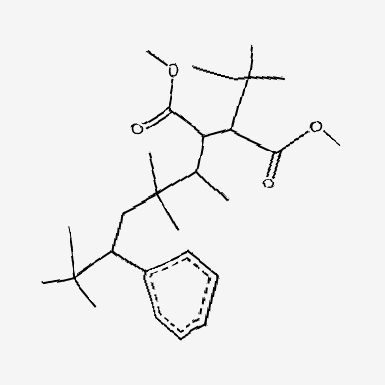 COC(=O)C(C(C(=O)OC)C(C)(C)C)C(C)C(C)(C)CC(c1ccccc1)C(C)(C)C